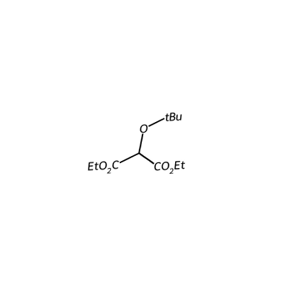 CCOC(=O)C(OC(C)(C)C)C(=O)OCC